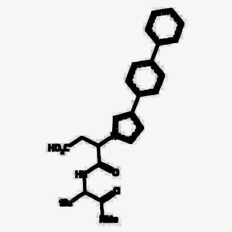 CNC(=O)C(NC(=O)C(CC(=O)O)n1ccc(-c2ccc(-c3ccccc3)cc2)c1)C(C)(C)C